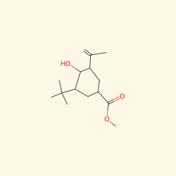 C=C(C)C1CC(C(=O)OC)CC(C(C)(C)C)C1O